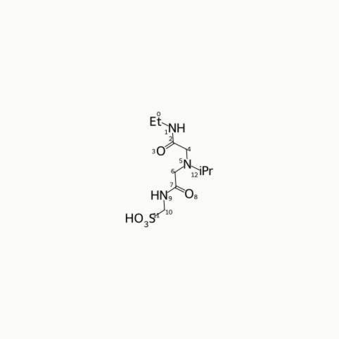 CCNC(=O)CN(CC(=O)NCS(=O)(=O)O)C(C)C